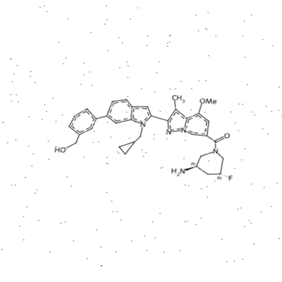 COc1cc(C(=O)N2C[C@H](N)C[C@@H](F)C2)cn2nc(-c3cc4ccc(-c5cccc(CO)c5)cc4n3CC3CC3)c(C)c12